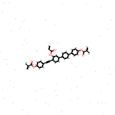 C=CC(=O)Oc1cc(-c2ccc(-c3ccc(OC(=O)C(=C)C)cc3)cc2)ccc1C#Cc1ccc(OC(=O)C(=C)C)cc1